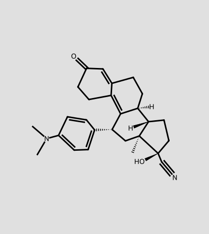 CN(C)c1ccc([C@H]2C[C@@]3(C)[C@@H](CC[C@]3(O)C#N)[C@@H]3CCC4=CC(=O)CCC4=C32)cc1